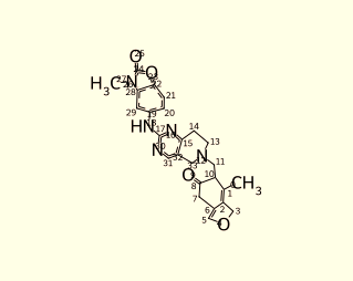 CC1=C2COC=C2CC(=O)C1CN1CCc2nc(Nc3ccc4oc(=O)n(C)c4c3)ncc2C1